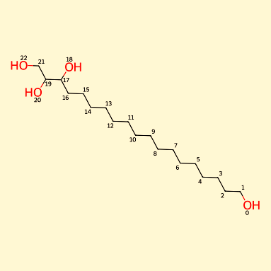 OCCCCCCCCCCCCCCCCC(O)C(O)CO